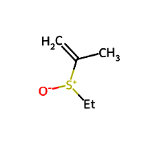 [CH2]C[S+]([O-])C(=C)C